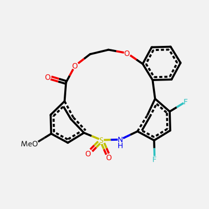 COc1cc2cc(c1)S(=O)(=O)Nc1cc(c(F)cc1F)-c1ccccc1OCCOC2=O